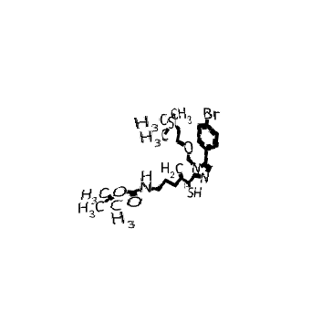 C=C(CCCNC(=O)OC(C)(C)C)[C@H](S)c1ncc(-c2ccc(Br)cc2)n1COCC[Si](C)(C)C